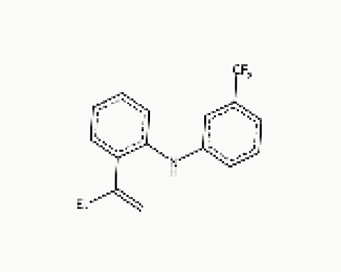 C=C(CC)c1ccccc1Nc1cccc(C(F)(F)F)c1